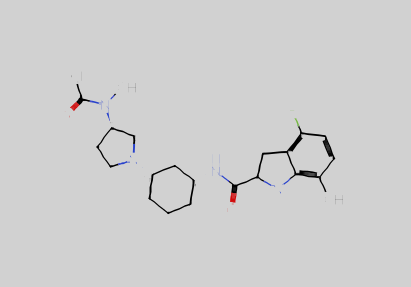 CC(=O)N(C)[C@@H]1CCN([C@H]2CCC[C@@H](NC(=O)C3Cc4c(F)ccc(C)c4N3)C2)C1